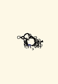 CO[C@H]1/C=C/C[C@H](C)[C@@H](C)S(=O)(NC(=O)NC2CC2)=NC(=O)c2ccc3c(c2)N(Cc2ccc(Cl)cc2CCCCO3)C[C@@H]2CC[C@H]21